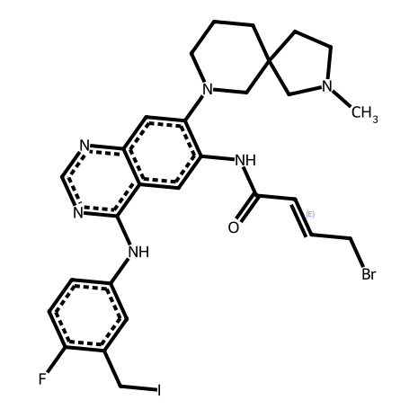 CN1CCC2(CCCN(c3cc4ncnc(Nc5ccc(F)c(CI)c5)c4cc3NC(=O)/C=C/CBr)C2)C1